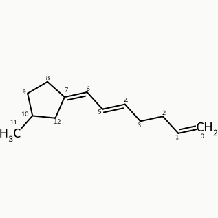 C=CCCC=CC=C1CCC(C)C1